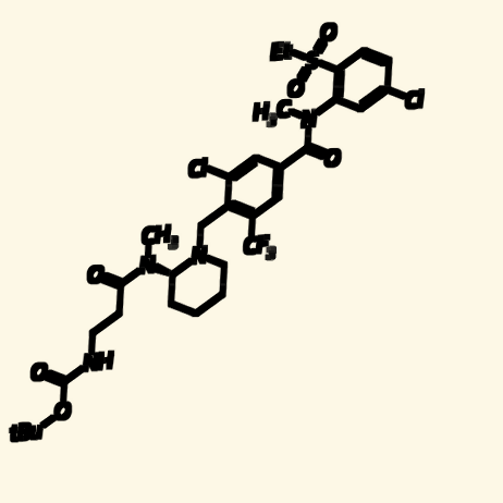 CCS(=O)(=O)c1ccc(Cl)cc1N(C)C(=O)c1cc(Cl)c(CN2CCCC[C@H]2N(C)C(=O)CCNC(=O)OC(C)(C)C)c(C(F)(F)F)c1